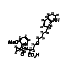 COc1cccnc1C1(C(=O)N[C@@H](CCOCCCCc2ccc3c(n2)NCCC3)C(=O)O)CC1